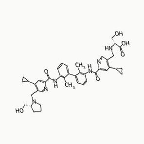 Cc1c(NC(=O)c2cc(C3CC3)c(CN[C@H](CO)C(=O)O)cn2)cccc1-c1cccc(NC(=O)c2cc(C3CC3)c(CN3CCC[C@@H]3CO)cn2)c1C